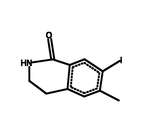 Cc1cc2c(cc1I)C(=O)NCC2